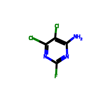 Nc1nc(F)nc(Cl)c1Cl